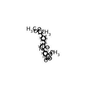 COC(=O)CC(C)c1ccc(Cn2ccnc(-c3ccc([N+](=O)[O-])c(OC)c3)c2=O)cc1